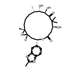 CCC[C@H]1C(=O)C(C)(C)[C@@H](O)CC(=O)O[C@H](c2ccc3oc(C)nc3c2)C[C@@H]2O[C@]2(C)CCC[C@H](C)[C@@H]1O